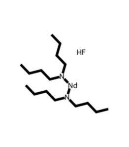 CCCC[N](CCCC)[Nd][N](CCCC)CCCC.F